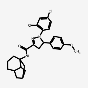 COc1ccc(C2CC(C(=O)NC34CCCC5CC(CC53)C4)=NN2c2ccc(Cl)cc2Cl)cc1